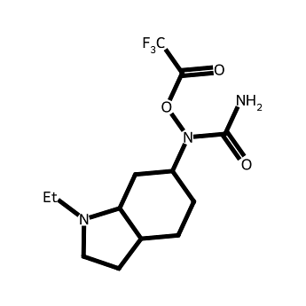 CCN1CCC2CCC(N(OC(=O)C(F)(F)F)C(N)=O)CC21